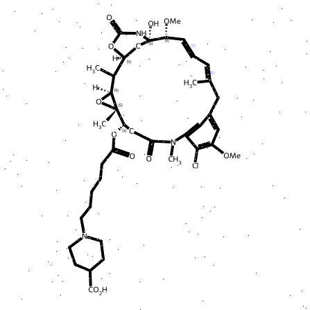 COc1cc2cc(c1Cl)N(C)C(=O)C[C@H](OC(=O)CCCCCN1CCC(C(=O)O)CC1)[C@]1(C)O[C@H]1C(C)[C@@H]1C[C@@](O)(NC(=O)O1)[C@H](OC)/C=C/C=C(\C)C2